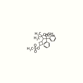 CC(C)(C)C(C1CC(OS(C)(=O)=O)C1)C(O[SiH3])(c1ccccc1)c1ccccc1